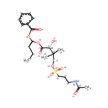 CCCC(OC(=O)c1ccccc1)OC(=O)[C@H](O)C(C)(C)COS(=O)(=O)CCCNC(C)=O